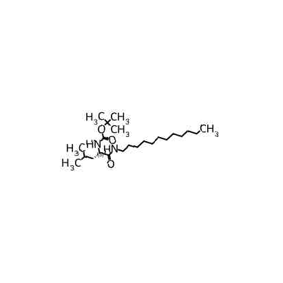 CCCCCCCCCCCCNC(=O)[C@H](CC(C)C)NC(=O)OC(C)(C)C